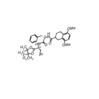 COc1ccc(OC)c2c1CCC(C(=O)N[C@@H](Cc1ccccc1)C(=O)N[C@@H](CC(C)C)B1OC(C)(C)C(C)(C)O1)C2